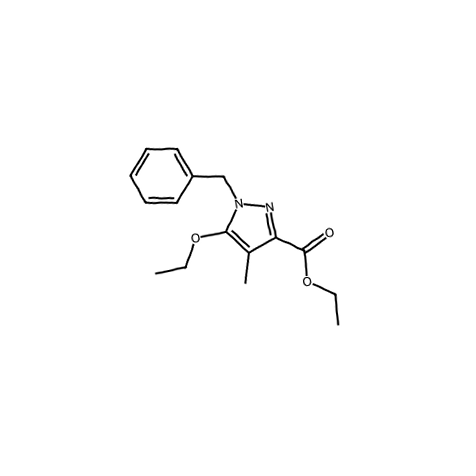 CCOC(=O)c1nn(Cc2ccccc2)c(OCC)c1C